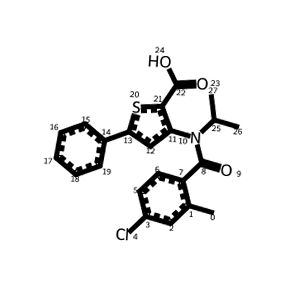 Cc1cc(Cl)ccc1C(=O)N(c1cc(-c2ccccc2)sc1C(=O)O)C(C)C